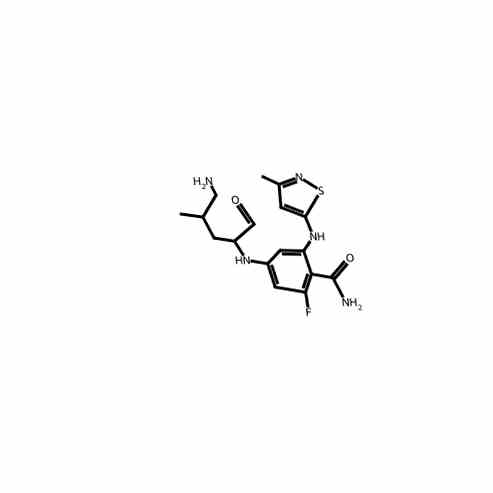 Cc1cc(Nc2cc(NC(C=O)CC(C)CN)cc(F)c2C(N)=O)sn1